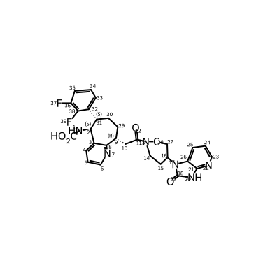 O=C(O)N[C@@H]1c2cccnc2[C@@H](CC(=O)N2CCC(n3c(=O)[nH]c4ncccc43)CC2)CC[C@H]1c1cccc(F)c1F